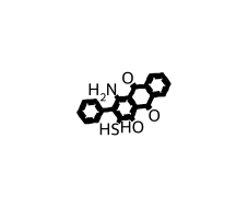 Nc1c2c(c(O)c(S)c1-c1ccccc1)C(=O)c1ccccc1C2=O